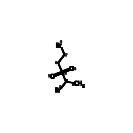 CC(Br)S(=O)(=O)CCBr